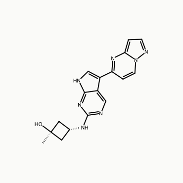 C[C@]1(O)C[C@H](Nc2ncc3c(-c4ccn5nccc5n4)c[nH]c3n2)C1